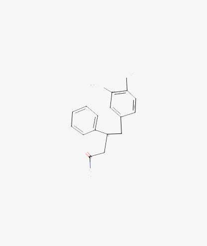 COc1ccc(CC(CC(N)=O)c2ccccc2)cc1OC